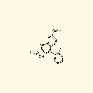 COc1ccc2c(-c3ccccc3C)ccnc2c1.O=S(=O)(O)O